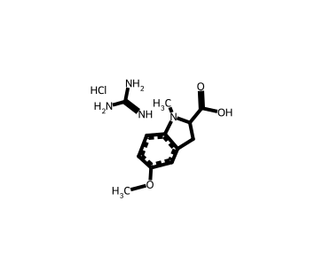 COc1ccc2c(c1)CC(C(=O)O)N2C.Cl.N=C(N)N